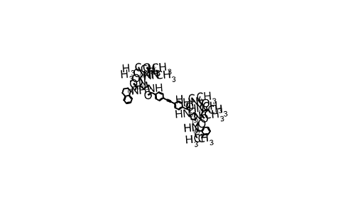 CC[C@@H](NC(=O)[C@@H]1C[C@H](NC(=O)c2ccc(C#Cc3ccc(C(=O)N[C@H]4C[C@@H](C(=O)N[C@@H]5CCCc6ccccc65)N(C(=O)[C@@H](NC(=O)[C@H](C)NC)C(C)(C)C)C4)cc3)cc2)CN1C(=O)[C@@H](NC(=O)[C@H](C)NC)C(C)(C)C)c1ccccc1C